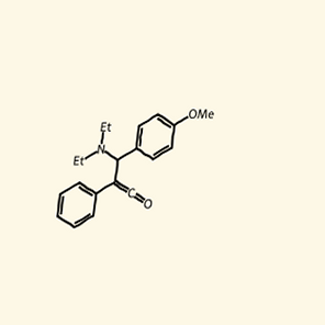 CCN(CC)C(C(=C=O)c1ccccc1)c1ccc(OC)cc1